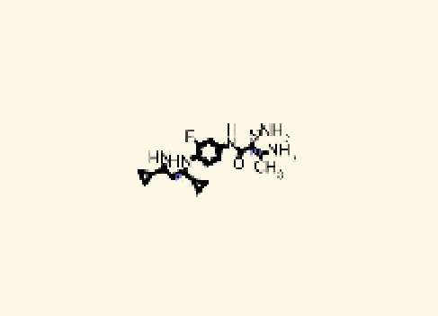 C/C(N)=C(/SN)C(=O)Nc1ccc(N/C(=C\C(=N)C2CC2)C2CC2)c(F)c1